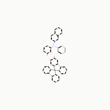 C1=CC(N(c2ccc3ccccc3c2)c2cccc3c2Oc2cc4c(cc2O3)C2(c3ccccc3-c3ccccc32)c2ccccc2-4)=CCC1